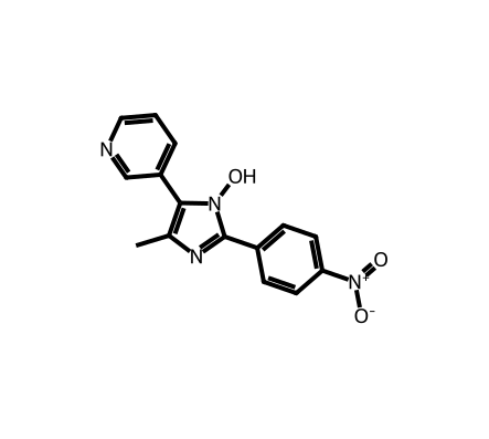 Cc1nc(-c2ccc([N+](=O)[O-])cc2)n(O)c1-c1cccnc1